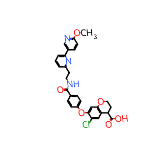 COc1ccc(-c2cccc(CCNC(=O)c3ccc(Oc4cc5c(cc4Cl)C(C(=O)O)CCO5)cc3)n2)cn1